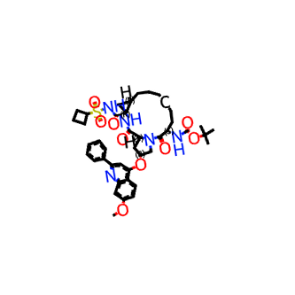 COc1ccc2c(O[C@@H]3C[C@H]4C(=O)N[C@]5(C(=O)NS(=O)(=O)C6CCC6)C[C@H]5CCCCCC[C@H](NC(=O)OC(C)(C)C)C(=O)N4C3)cc(-c3ccccc3)nc2c1